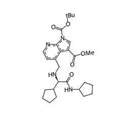 COC(=O)c1cn(C(=O)OC(C)(C)C)c2nccc(CN[C@@H](C(=O)NC3CCCC3)C3CCCC3)c12